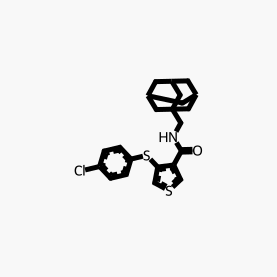 O=C(NCC12CC3CC(CC(C3)C1)C2)c1cscc1Sc1ccc(Cl)cc1